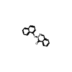 O=c1c2ccccc2cnn1Sc1cccc2ccccc12